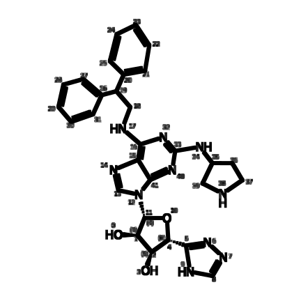 O[C@@H]1[C@H](O)[C@@H](c2nnc[nH]2)O[C@H]1n1cnc2c(NCC(c3ccccc3)c3ccccc3)nc(NC3CCNC3)nc21